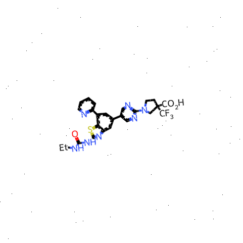 CCNC(=O)Nc1nc2cc(-c3cnc(N4CCC(C(=O)O)(C(F)(F)F)C4)nc3)cc(-c3ccccn3)c2s1